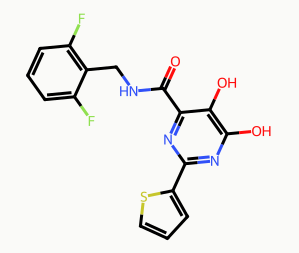 O=C(NCc1c(F)cccc1F)c1nc(-c2cccs2)nc(O)c1O